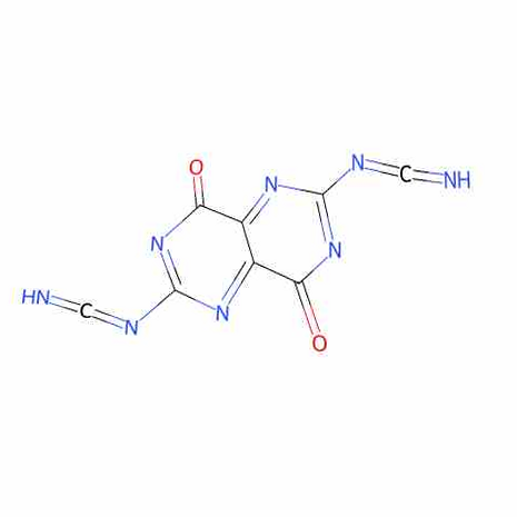 N=C=NC1=NC(=O)C2=NC(N=C=N)=NC(=O)C2=N1